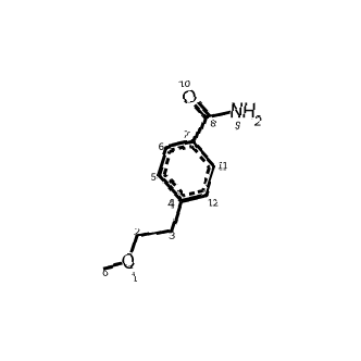 COCCc1ccc(C(N)=O)cc1